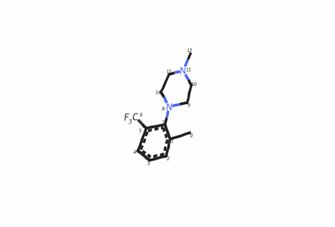 Cc1cccc(C(F)(F)F)c1N1CCN(C)CC1